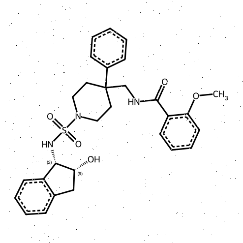 COc1ccccc1C(=O)NCC1(c2ccccc2)CCN(S(=O)(=O)N[C@H]2c3ccccc3C[C@H]2O)CC1